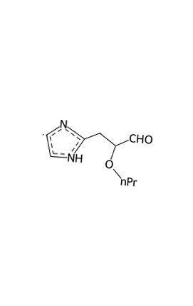 CCCOC(C=O)Cc1n[c]c[nH]1